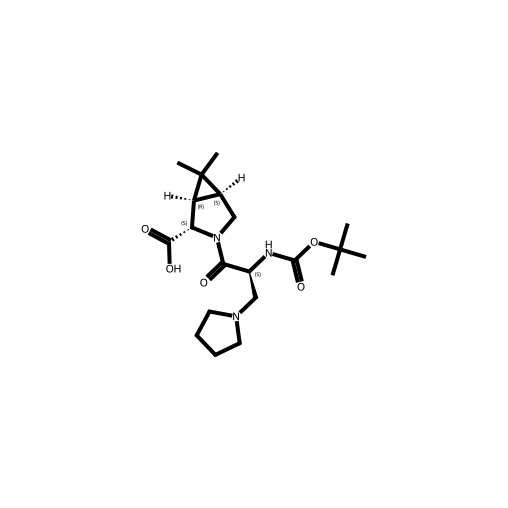 CC(C)(C)OC(=O)N[C@@H](CN1CCCC1)C(=O)N1C[C@H]2[C@@H]([C@H]1C(=O)O)C2(C)C